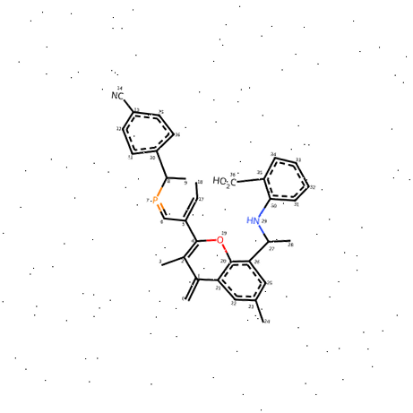 C=C1C(C)=C(C(/C=P\C(C)c2ccc(C#N)cc2)=C/C)Oc2c1cc(C)cc2C(C)Nc1ccccc1C(=O)O